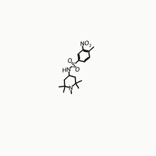 Cc1ccc(S(=O)(=O)NC2CC(C)(C)N(C)C(C)(C)C2)cc1[N+](=O)[O-]